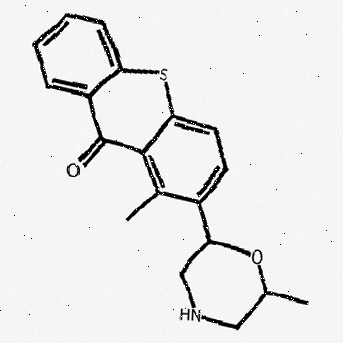 Cc1c(C2CNCC(C)O2)ccc2sc3ccccc3c(=O)c12